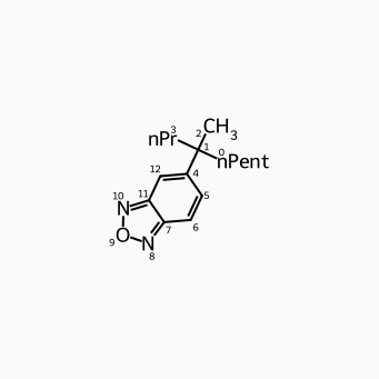 CCCCCC(C)(CCC)c1ccc2nonc2c1